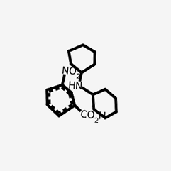 C1CCC(NC2CCCCC2)CC1.O=C(O)c1cccc([N+](=O)[O-])c1